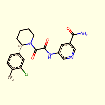 NC(=O)c1cncc(NC(=O)C(=O)N2CCCC[C@H]2c2ccc(C(F)(F)F)c(Cl)c2)c1